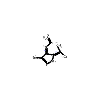 C=C/N=C1/C(Br)=CN/C1=C(/C)Cl